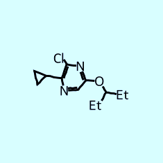 CCC(CC)Oc1cnc(C2CC2)c(Cl)n1